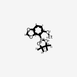 CCOc1ccc2c(c1B1OC(C)(C)C(C)(C)O1)OCO2